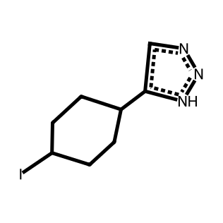 IC1CCC(c2cnn[nH]2)CC1